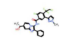 C[C@@H](O)c1ccn2c(NC(=O)c3cc(-c4ccn(C)n4)c(C(F)(F)CF)cc3F)c(-c3ccccc3)nc2c1